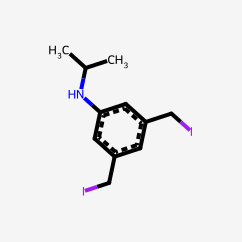 CC(C)Nc1cc(CI)cc(CI)c1